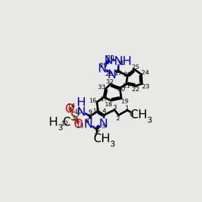 CCCCc1nc(C)nc(NS(C)(=O)=O)c1Cc1ccc(-c2ccccc2-c2nnn[nH]2)cc1